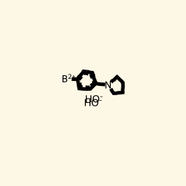 [B+2]c1ccc(N2CCCC2)cc1.[OH-].[OH-]